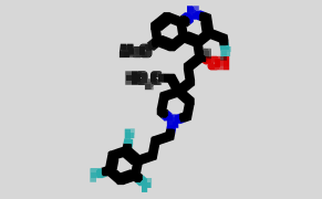 COc1ccc2ncc(CF)c([C@@H](O)CCC3(CC(=O)O)CCN(CCCc4c(F)cc(F)cc4F)CC3)c2c1